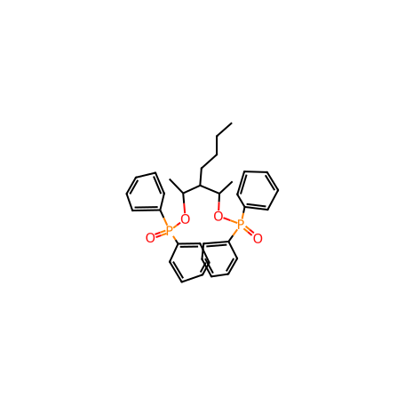 CCCCC(C(C)OP(=O)(c1ccccc1)c1ccccc1)C(C)OP(=O)(c1ccccc1)c1ccccc1